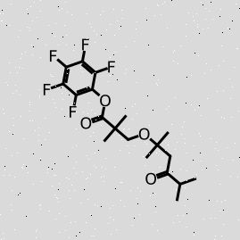 CC(C)C(=O)CC(C)(C)OCC(C)(C)C(=O)Oc1c(F)c(F)c(F)c(F)c1F